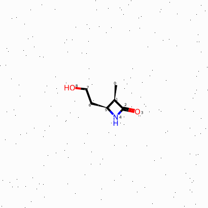 C[C@H]1C(=O)N[C@H]1CCO